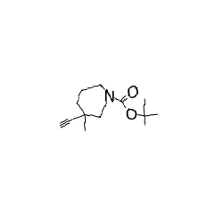 C#CC1(C)CCCN(C(=O)OC(C)(C)C)C1